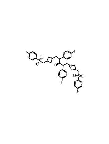 O=C(C(CN1CC(CS(=O)(=O)c2ccc(F)cc2)C1)c1ccc(F)cc1)C(CN1CC(CS(=O)(=O)c2ccc(F)cc2)C1)c1ccc(F)cc1